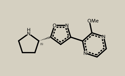 COc1nccnc1-c1cc([C@@H]2CCCN2)on1